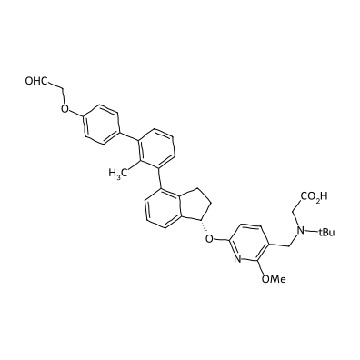 COc1nc(O[C@H]2CCc3c(-c4cccc(-c5ccc(OCC=O)cc5)c4C)cccc32)ccc1CN(CC(=O)O)C(C)(C)C